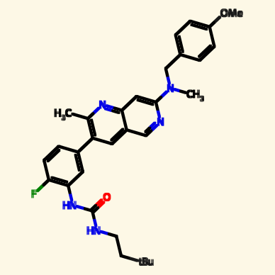 COc1ccc(CN(C)c2cc3nc(C)c(-c4ccc(F)c(NC(=O)NCCC(C)(C)C)c4)cc3cn2)cc1